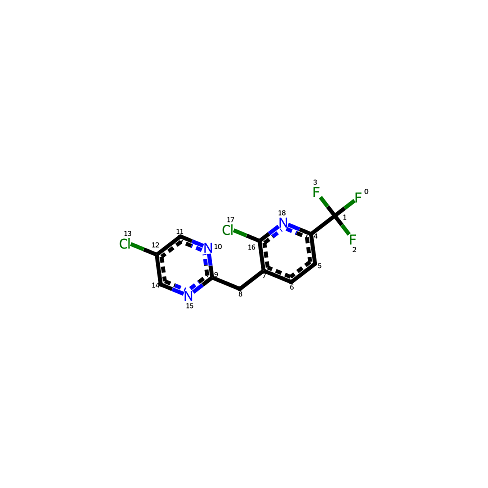 FC(F)(F)c1ccc(Cc2ncc(Cl)cn2)c(Cl)n1